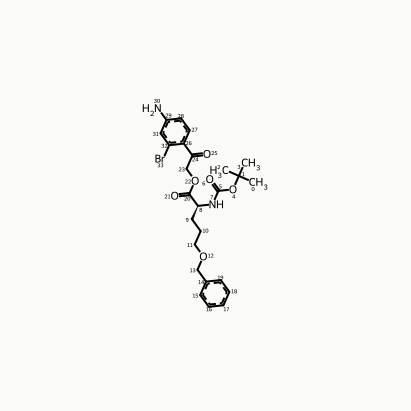 CC(C)(C)OC(=O)N[C@@H](CCCOCc1ccccc1)C(=O)OCC(=O)c1ccc(N)cc1Br